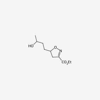 CCOC(=O)C1=NOC(CCC(C)O)C1